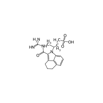 CC(C)n1c(C(=O)NC(=N)N)c2c3c(cccc31)CCC2.CS(=O)(=O)O